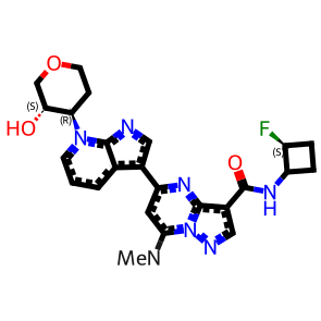 CNc1cc(-c2cnc3n([C@@H]4CCOC[C@H]4O)cccc2-3)nc2c(C(=O)NC3CC[C@@H]3F)cnn12